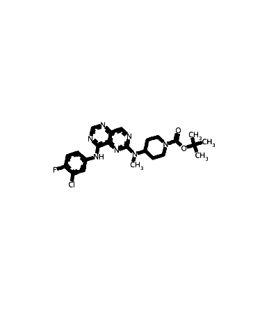 CN(c1ncc2ncnc(Nc3ccc(F)c(Cl)c3)c2n1)C1CCN(C(=O)OC(C)(C)C)CC1